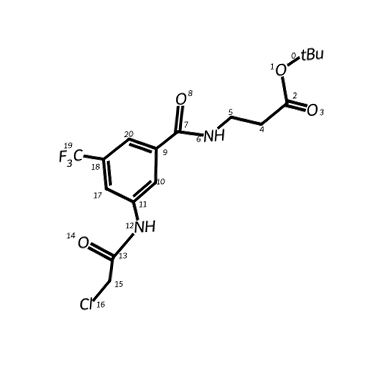 CC(C)(C)OC(=O)CCNC(=O)c1cc(NC(=O)CCl)cc(C(F)(F)F)c1